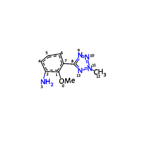 COc1c(N)cccc1-c1nnn(C)n1